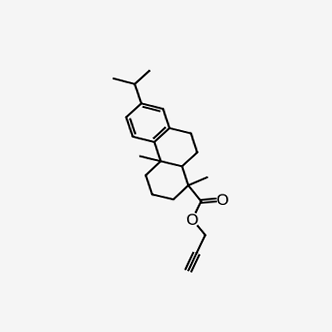 C#CCOC(=O)C1(C)CCCC2(C)c3ccc(C(C)C)cc3CCC12